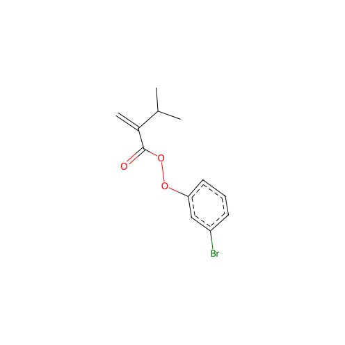 C=C(C(=O)OOc1cccc(Br)c1)C(C)C